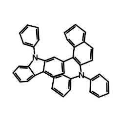 c1ccc(N(c2ccccc2)c2ccc3ccccc3c2-c2ccc3c4ccccc4n(-c4ccccc4)c3c2)cc1